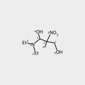 CCN(CC)C(O)C(C)(CO)[N+](=O)[O-]